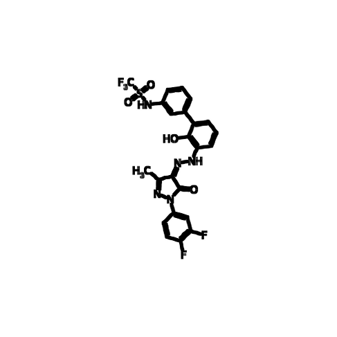 CC1=NN(c2ccc(F)c(F)c2)C(=O)/C1=N\Nc1cccc(-c2cccc(NS(=O)(=O)C(F)(F)F)c2)c1O